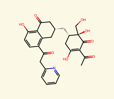 CC(=O)C1=C(O)C[C@H](C[C@H]2CC(=O)c3c(O)ccc(C(=O)Cc4ccccn4)c3C2)[C@](O)(CO)C1=O